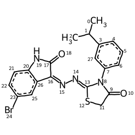 CC(C)c1cccc(N2C(=O)CSC2=NN=C2C(=O)Nc3ccc(Br)cc32)c1